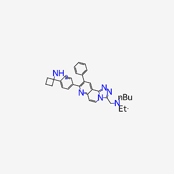 [CH2][CH]N(CCCC)Cc1nnc2c3cc(-c4ccccc4)c(-c4ccc(C5(N)CCC5)cc4)nc3ccn12